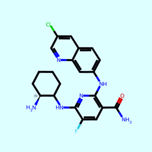 NC(=O)c1cc(F)c(NC2CCCC[C@@H]2N)nc1Nc1ccc2cc(Cl)cnc2c1